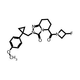 COc1ccc(C2(Cn3nc4n(c3=O)C(C(=O)N3CC(F)C3)CCC4)CC2)cc1